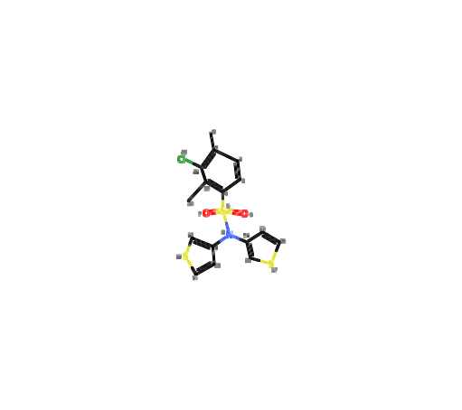 Cc1ccc(S(=O)(=O)N(c2ccsc2)c2ccsc2)c(C)c1Cl